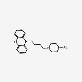 CC(=O)N1CCN(CCCCN2c3ccccc3Oc3ccccc32)CC1